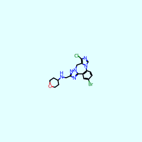 Clc1ncn2c1Cn1nc(CNC3CCOCC3)nc1-c1cc(Br)ccc1-2